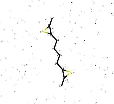 CC1SC1CCCCC1SC1C